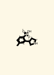 Cc1ccc(S(=O)(=O)O)c(C2CCNC2)c1